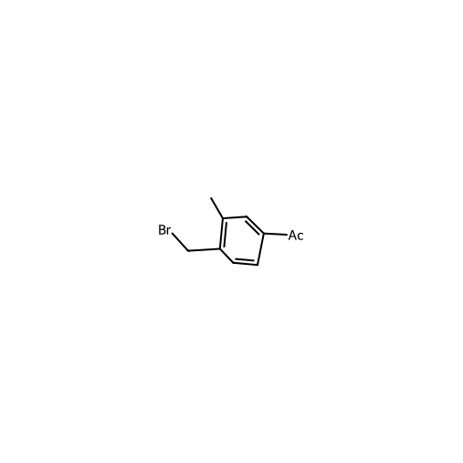 CC(=O)c1ccc(CBr)c(C)c1